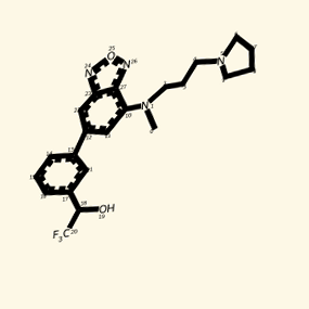 CN(CCCN1CCCC1)c1cc(-c2cccc(C(O)C(F)(F)F)c2)cc2nonc12